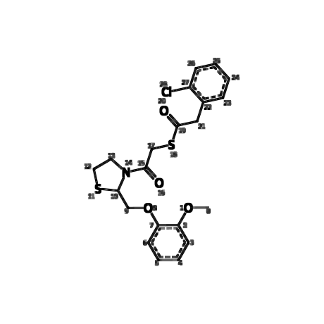 COc1ccccc1OCC1SCCN1C(=O)CSC(=O)Cc1ccccc1Cl